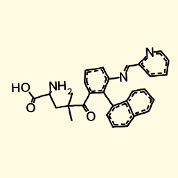 CC(C)(C[C@H](N)C(=O)O)C(=O)c1cccc(N=Cc2ccccn2)c1-c1cccc2ccccc12